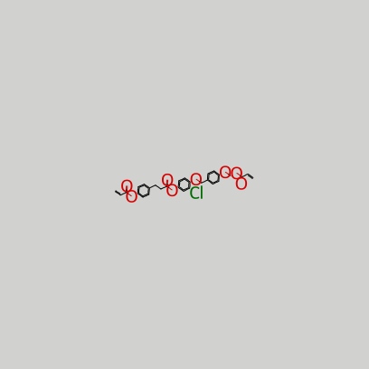 C=CC(=O)OCOc1ccc(COc2ccc(OC(=O)CCc3ccc(OC(=O)C=C)cc3)cc2Cl)cc1